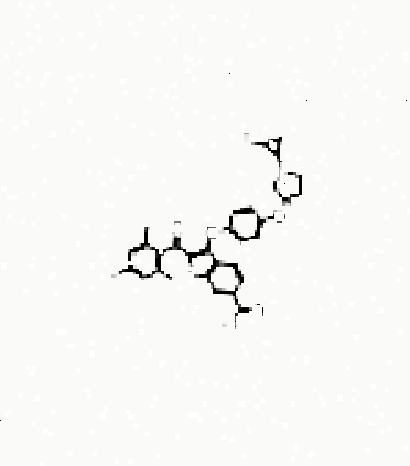 Cc1cc(F)cc(C)c1C(=O)c1sc2cc(C(=O)O)ccc2c1Oc1ccc(O[C@H]2CCN(C3CC3F)C2)cc1